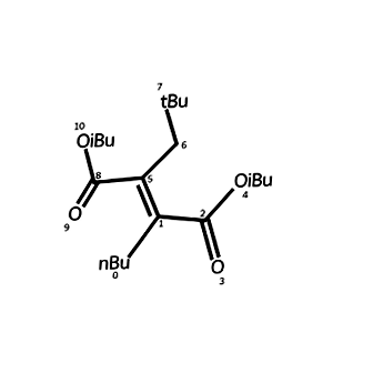 CCCCC(C(=O)OCC(C)C)=C(CC(C)(C)C)C(=O)OCC(C)C